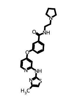 Cc1csc(Nc2cc(Oc3cccc(C(=O)NCCN4CCCC4)c3)ccn2)n1